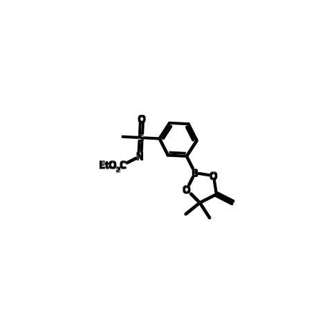 C=C1OB(c2cccc(S(C)(=O)=NC(=O)OCC)c2)OC1(C)C